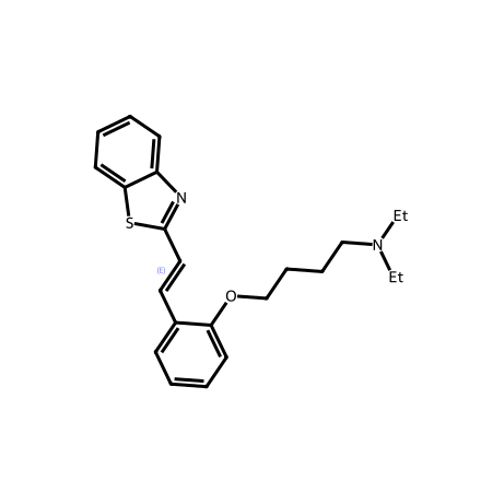 CCN(CC)CCCCOc1ccccc1/C=C/c1nc2ccccc2s1